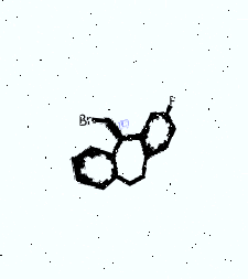 Fc1ccc2c(c1)/C(=C/Br)c1ccccc1CC2